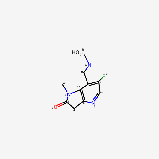 CN1C(=O)Cc2ncc(F)c(CNC(=O)O)c21